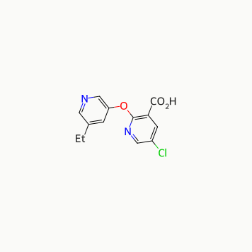 CCc1cncc(Oc2ncc(Cl)cc2C(=O)O)c1